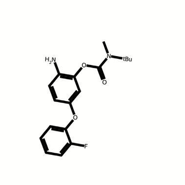 CN(C(=O)Oc1cc(Oc2ccccc2F)ccc1N)C(C)(C)C